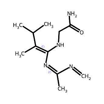 C=N/C(C)=N\C(NCC(N)=O)=C(/C)C(C)C